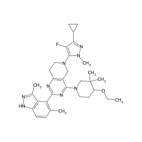 CCOC1CCN(c2nc(-c3c(C)ccc4[nH]nc(C)c34)nc3c2CN(c2c(F)c(C4CC4)nn2C)CC3)CC1(C)C